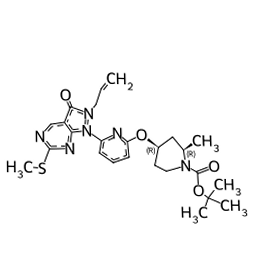 C=CCn1c(=O)c2cnc(SC)nc2n1-c1cccc(O[C@@H]2CCN(C(=O)OC(C)(C)C)[C@H](C)C2)n1